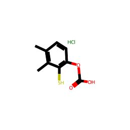 Cc1ccc(OC(=O)O)c(S)c1C.Cl